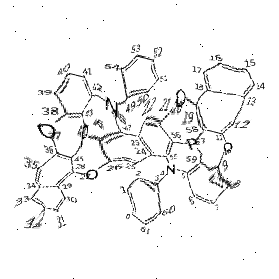 c1ccc(-n2c3cccc4oc5cc6ccccc6c6oc7cc8c(cc9oc%10c%11ccccc%11cc%11oc%12cccc%13c%12p(c%11%10)c9c8n%13-c8ccccc8)c2c7p(c56)c43)cc1